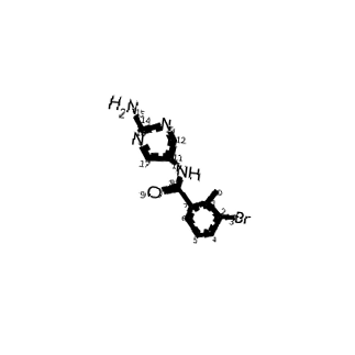 Cc1c(Br)cccc1C(=O)Nc1cnc(N)nc1